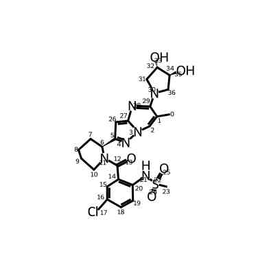 Cc1cn2nc([C@@H]3CCCCN3C(=O)c3cc(Cl)ccc3NS(C)(=O)=O)cc2nc1N1C[C@H](O)[C@@H](O)C1